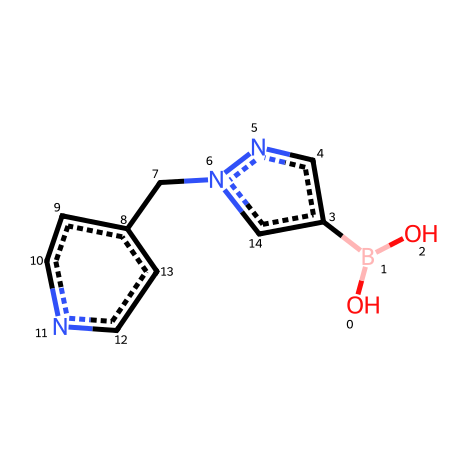 OB(O)c1cnn(Cc2ccncc2)c1